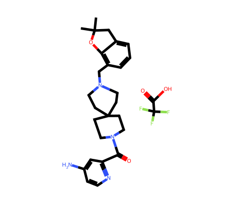 CC1(C)Cc2cccc(CN3CCC4(CC3)CCN(C(=O)c3cc(N)ccn3)CC4)c2O1.O=C(O)C(F)(F)F